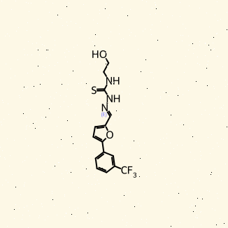 OCCNC(=S)N/N=C/c1ccc(-c2cccc(C(F)(F)F)c2)o1